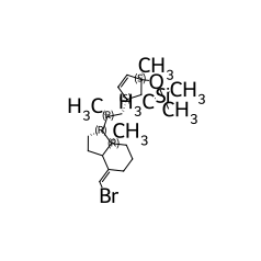 C[C@H](C[C@@H]1C=C[C@@](C)(O[Si](C)(C)C)C1)[C@H]1CCC2C(=CBr)CCC[C@@]21C